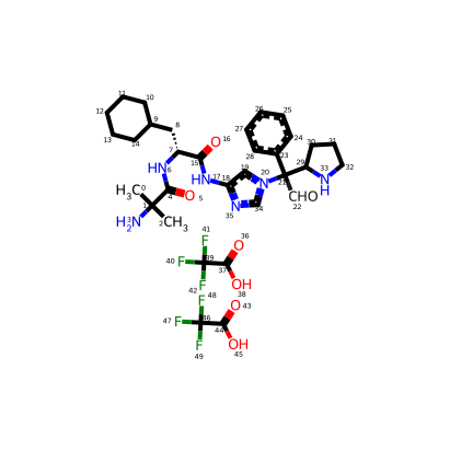 CC(C)(N)C(=O)N[C@H](CC1CCCCC1)C(=O)Nc1cn(C(C=O)(c2ccccc2)C2CCCN2)cn1.O=C(O)C(F)(F)F.O=C(O)C(F)(F)F